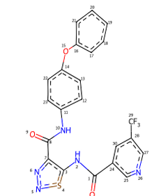 O=C(Nc1snnc1C(=O)Nc1ccc(Oc2ccccc2)cc1)c1cncc(C(F)(F)F)c1